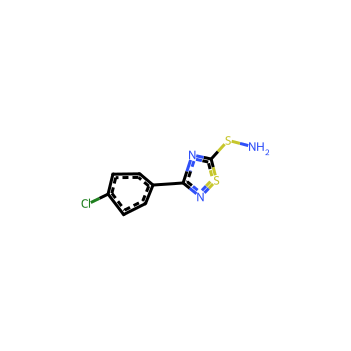 NSc1nc(-c2ccc(Cl)cc2)ns1